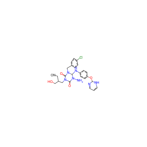 NN1C(=O)N(CC(CO)CN=O)C(=O)N(Cc2ccc(Cl)cc2)C1Nc1ccc(OC2N=CC=CN2)cc1